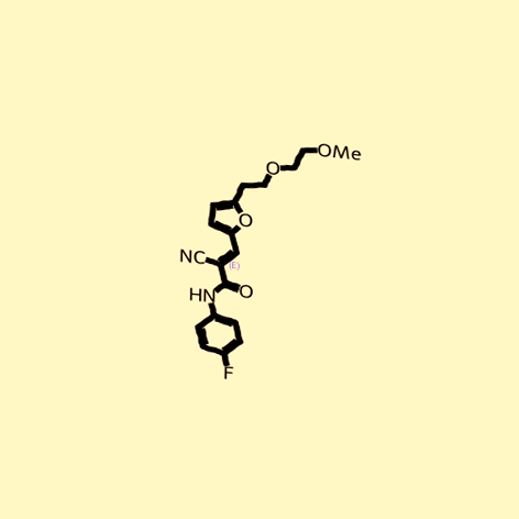 COCCOCCc1ccc(/C=C(\C#N)C(=O)Nc2ccc(F)cc2)o1